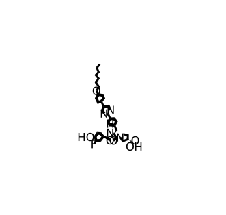 CCCCCCCOc1ccc(-c2cnc(-c3ccc(C[C@H](NC(=O)c4ccc(O)c(F)c4)C(=O)N4CC[C@H](C(=O)O)C4)cc3)nc2)cc1